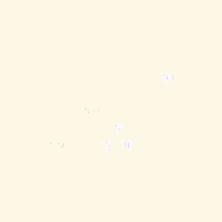 CC(=O)Nc1cc(NC(C)=O)cc(Nc2ncc3ccc(OC4CCNCC4)cc3n2)c1